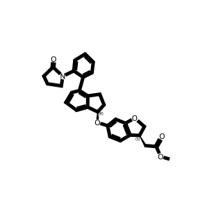 COC(=O)C[C@@H]1COc2cc(O[C@@H]3CCc4c(-c5ccccc5N5CCCC5=O)cccc43)ccc21